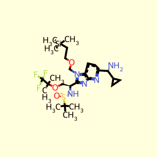 CC(C)(C)[S@@+]([O-])N[C@@H](COC(C)(C)C(F)(F)F)c1nc2nc([C@H](N)C3CC3)ccc2n1COCC[Si](C)(C)C